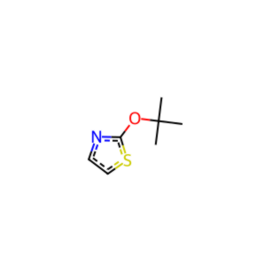 CC(C)(C)Oc1nccs1